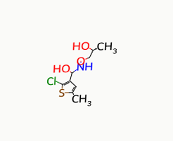 Cc1cc(C(O)NOC[C@H](C)O)c(Cl)s1